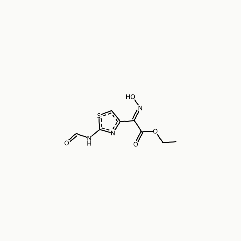 CCOC(=O)/C(=N/O)c1csc(NC=O)n1